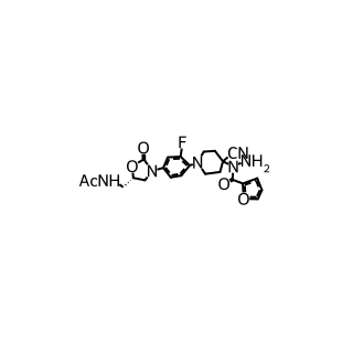 CC(=O)NC[C@H]1CN(c2ccc(N3CCC(C#N)(N(N)C(=O)c4ccco4)CC3)c(F)c2)C(=O)O1